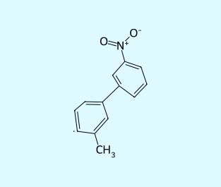 Cc1[c]ccc(-c2cccc([N+](=O)[O-])c2)c1